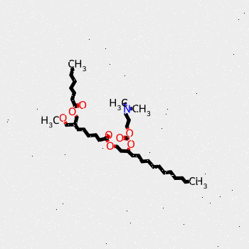 CCCCCCCCCCCCC(CCOC(=O)CCCCCC(COC)COC(=O)CCCCCCC)OC(=O)OCCCN(C)C